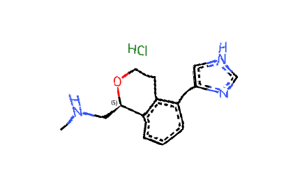 CNC[C@H]1OCCc2c(-c3c[nH]cn3)cccc21.Cl